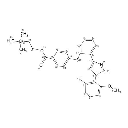 COc1cccc(F)c1-n1cc(-c2ccccc2Sc2ccc(C(=O)OCC[N+](C)(C)C)cc2)nn1